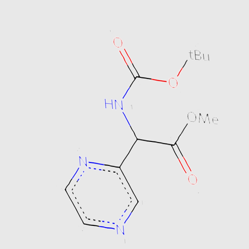 COC(=O)C(NC(=O)OC(C)(C)C)c1cnccn1